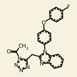 CC(=O)n1nnnc1Cc1nc2ccccc2n1-c1ccc(Oc2ccc(F)cc2)cc1